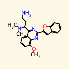 COc1cccc2c(C(CCN)N(C)C)nc(-c3cc4ccccc4o3)nc12